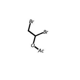 CC(=O)OC(Br)CBr